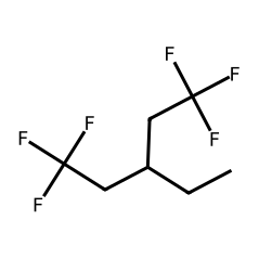 CCC(CC(F)(F)F)CC(F)(F)F